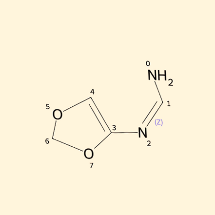 N/C=N\C1=COCO1